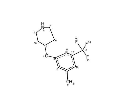 Cc1cc(OC2CCNCC2)nc(C(F)(F)F)c1